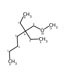 CCCCC(CC)(CC)COC